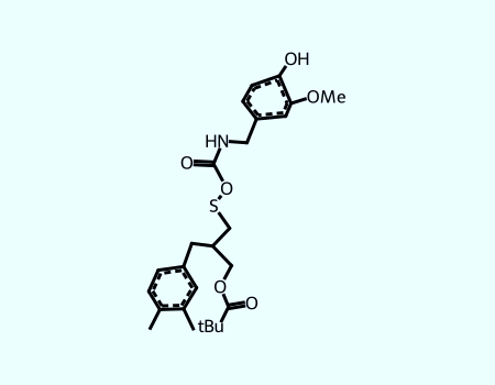 COc1cc(CNC(=O)OSCC(COC(=O)C(C)(C)C)Cc2ccc(C)c(C)c2)ccc1O